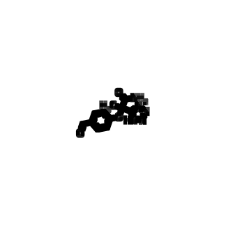 CC(Oc1ccc(C=O)cc1)(C(N)=O)c1nnn[nH]1